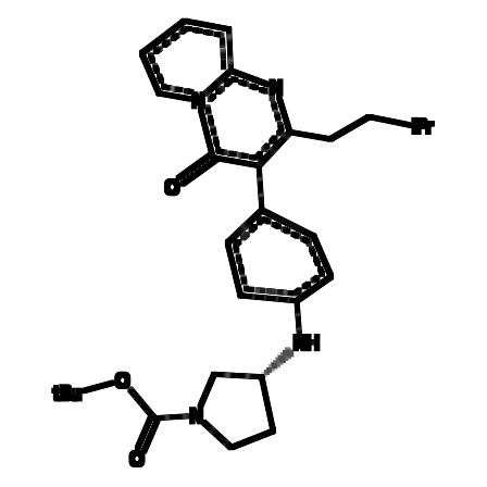 CC(C)CCc1nc2ccccn2c(=O)c1-c1ccc(N[C@@H]2CCN(C(=O)OC(C)(C)C)C2)cc1